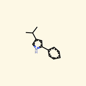 CC(C)c1c[nH]c(-c2ccccc2)c1